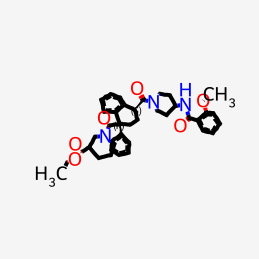 CCOC(=O)C1CCCN(C(=O)[C@@]2(c3ccccc3)CC[C@H](C(=O)N3CCC(NC(=O)c4ccccc4OC)CC3)c3ccccc32)C1